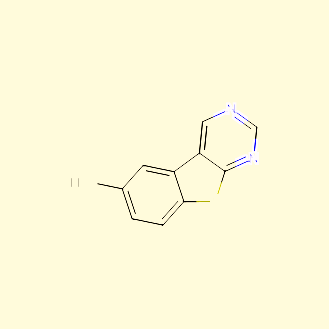 Cc1ccc2sc3ncncc3c2c1